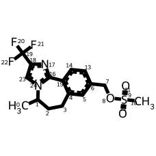 CC1CCc2cc(COS(C)(=O)=O)ccc2-c2nc(C(F)(F)F)cn21